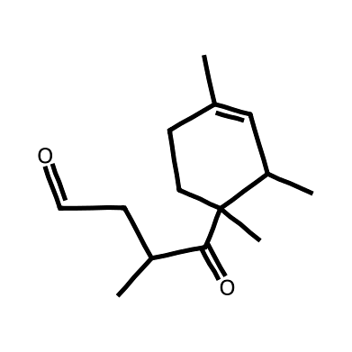 CC1=CC(C)C(C)(C(=O)C(C)CC=O)CC1